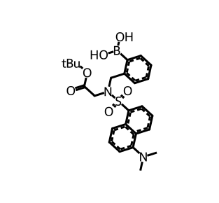 CN(C)c1cccc2c(S(=O)(=O)N(CC(=O)OC(C)(C)C)Cc3ccccc3B(O)O)cccc12